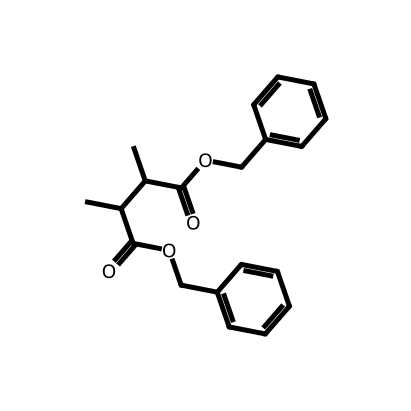 CC(C(=O)OCc1ccccc1)C(C)C(=O)OCc1ccccc1